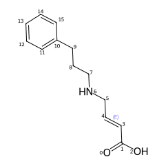 O=C(O)/C=C/CNCCCc1ccccc1